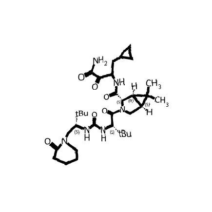 CC(C)(C)[C@H](NC(=O)N[C@H](CN1CCCCC1=O)C(C)(C)C)C(=O)N1C[C@H]2[C@@H]([C@H]1C(=O)NC(CC1CC1)C(=O)C(N)=O)C2(C)C